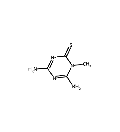 Cn1c(N)nc(N)nc1=S